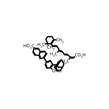 CC1=C(/C=C/C(C)=C/C=C/C(C)=C\C(=O)O)C(C)(C)CCC1.COc1ccc(-c2ccc3cc(C(=O)O)ccc3c2)cc1C12CC3CC(CC(C3)C1)C2